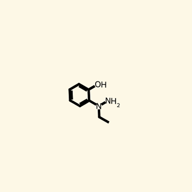 CCN(N)c1ccccc1O